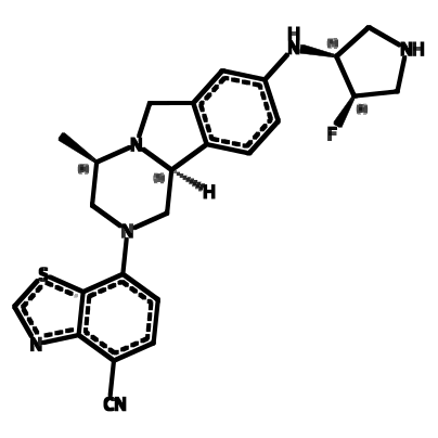 C[C@@H]1CN(c2ccc(C#N)c3ncsc23)C[C@@H]2c3ccc(N[C@H]4CNC[C@H]4F)cc3CN12